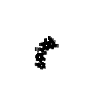 CC(Nc1cccc(N2CCOC2=O)c1F)c1cc2cc(Cl)cc(F)c2[nH]c1=O